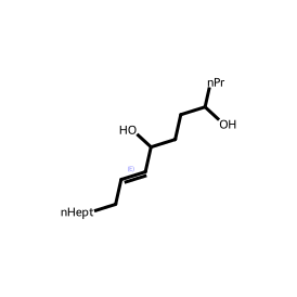 CCCCCCCC/C=C/C(O)CCC(O)CCC